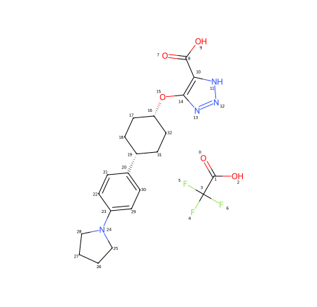 O=C(O)C(F)(F)F.O=C(O)c1[nH]nnc1O[C@H]1CC[C@@H](c2ccc(N3CCCC3)cc2)CC1